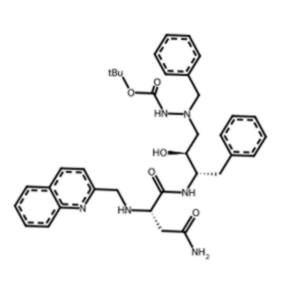 CC(C)(C)OC(=O)NN(Cc1ccccc1)C[C@H](O)[C@H](Cc1ccccc1)NC(=O)[C@H](CC(N)=O)NCc1ccc2ccccc2n1